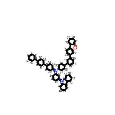 c1ccc(-c2ccc(-c3ccc(N(c4ccc(-c5cccc(-c6ccc7c(c6)oc6ccccc67)c5)cc4)c4cccc(-n5c6ccccc6c6ccccc65)c4)cc3)cc2)cc1